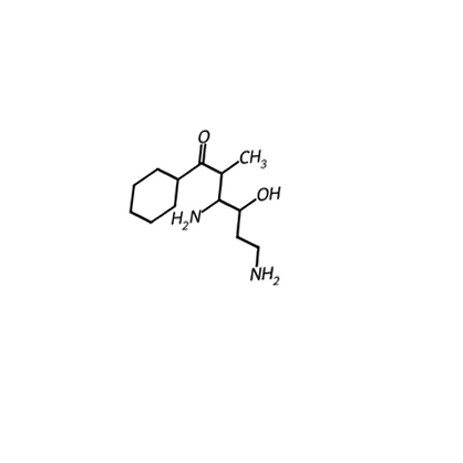 CC(C(=O)C1CCCCC1)C(N)C(O)CCN